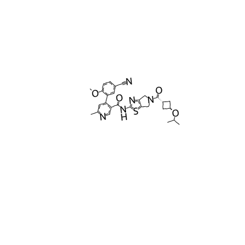 COc1ccc(C#N)cc1-c1cc(C)ncc1C(=O)Nc1nc2c(s1)CN(C(=O)[C@H]1C[C@H](OC(C)C)C1)C2